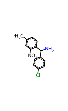 [CH2]c1ccc(C(N)c2ccc(Cl)cc2)c([N+](=O)[O-])c1